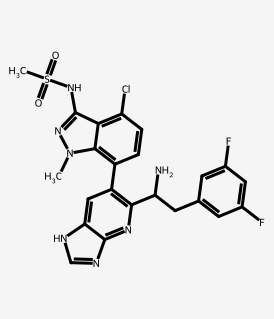 Cn1nc(NS(C)(=O)=O)c2c(Cl)ccc(-c3cc4[nH]cnc4nc3C(N)Cc3cc(F)cc(F)c3)c21